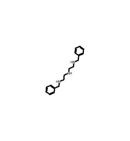 c1ccc(CNCCNCCNCc2ccccc2)cc1